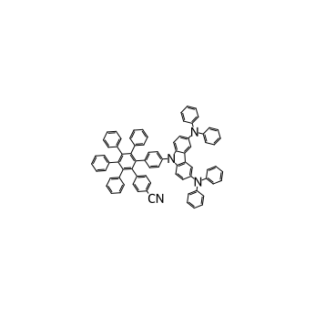 N#Cc1ccc(-c2c(-c3ccccc3)c(-c3ccccc3)c(-c3ccccc3)c(-c3ccccc3)c2-c2ccc(-n3c4ccc(N(c5ccccc5)c5ccccc5)cc4c4cc(N(c5ccccc5)c5ccccc5)ccc43)cc2)cc1